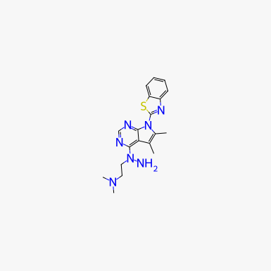 Cc1c(C)n(-c2nc3ccccc3s2)c2ncnc(N(N)CCN(C)C)c12